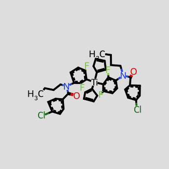 CCCCN(C(=O)c1ccc(Cl)cc1)c1ccc(F)[c]([Ti]([C]2=CC=CC2)([C]2=CC=CC2)[c]2c(F)ccc(N(CCCC)C(=O)c3ccc(Cl)cc3)c2F)c1F